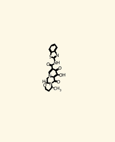 C[C@@H]1CCO[C@H]2Cn3cc(C(=O)Nc4nc5ccccc5s4)c(=O)c(O)c3C(=O)N12